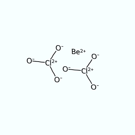 [Be+2].[O-][Cl+2]([O-])[O-].[O-][Cl+2]([O-])[O-]